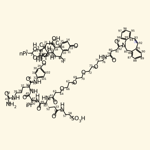 CCCC1O[C@@H]2C[C@H]3[C@@H]4C[C@H](F)C5=CC(=O)C=C[C@]5(C)C4[C@@H](O)C[C@]3(C)[C@]2(C(=O)COc2ccc(NC(=O)[C@H](CCCNC(N)=O)NC(=O)[C@@H](NC(=O)[C@@H](CCC(=O)NCCS(=O)(=O)O)NC(=O)CCOCCOCCOCCOCCNC(=O)CCC(=O)N3Cc4ccccc4/C=C\c4ccccc43)C(C)C)cc2)O1